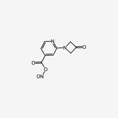 O=NOC(=O)c1ccnc(N2CC(=O)C2)c1